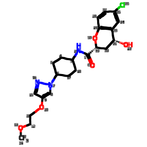 O=C(NC1CCC(n2cc(OCCOC(F)(F)F)cn2)CC1)[C@H]1C[C@@H](O)c2cc(Cl)ccc2O1